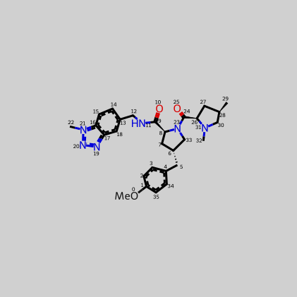 COc1ccc(C[C@@H]2C[C@@H](C(=O)NCc3ccc4c(c3)nnn4C)N(C(=O)[C@H]3C[C@@H](C)CN3C)C2)cc1